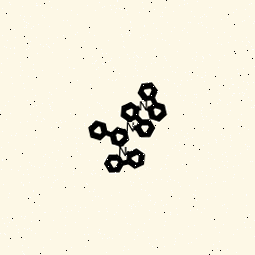 c1ccc(-c2cc(-n3c4ccccc4c4ccccc43)cc(-n3c4ccccc4c4c(-n5c6ccccc6c6ccccc65)cccc43)c2)cc1